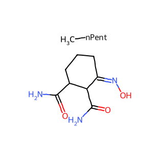 CCCCCC.NC(=O)C1CCCC(=NO)C1C(N)=O